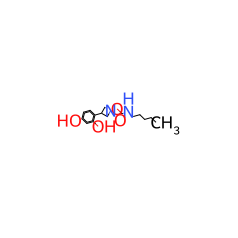 CCCCCNC(=O)ON1CC(c2ccc(O)cc2O)C1